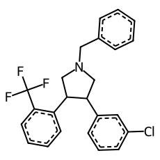 FC(F)(F)c1ccccc1C1CN(Cc2ccccc2)CC1c1cccc(Cl)c1